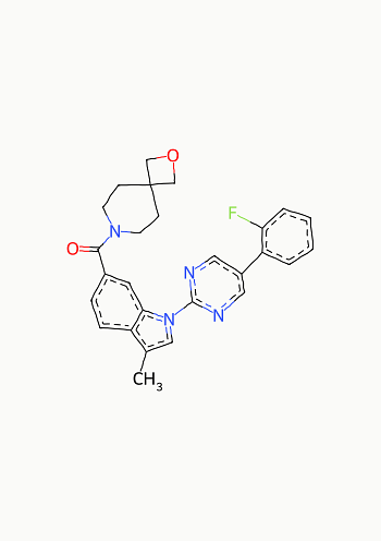 Cc1cn(-c2ncc(-c3ccccc3F)cn2)c2cc(C(=O)N3CCC4(CC3)COC4)ccc12